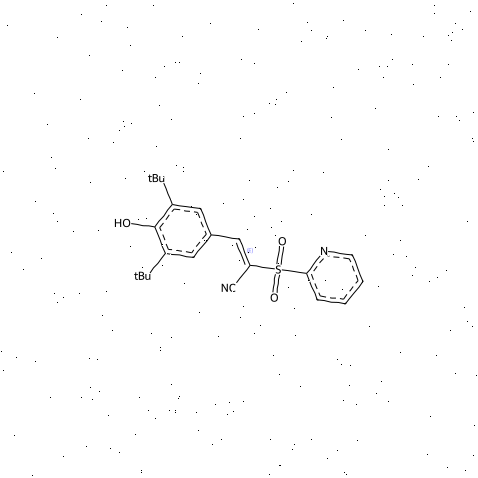 CC(C)(C)c1cc(/C=C(\C#N)S(=O)(=O)c2ccccn2)cc(C(C)(C)C)c1O